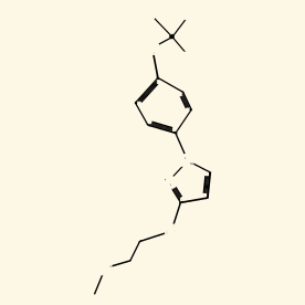 COCCOc1ccn(-c2ccc(OC(F)(F)F)cc2)n1